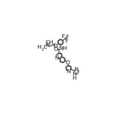 CN(C)CCOc1ccc(C(F)(F)F)cc1NC(=O)c1cnc2ccc(Oc3ccnc(C4=NCCN4)c3)cc2c1